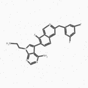 NCCn1cc(-c2ccc3cc(Cc4cc(F)cc(F)c4)ncc3c2F)c2c(N)ncnc21